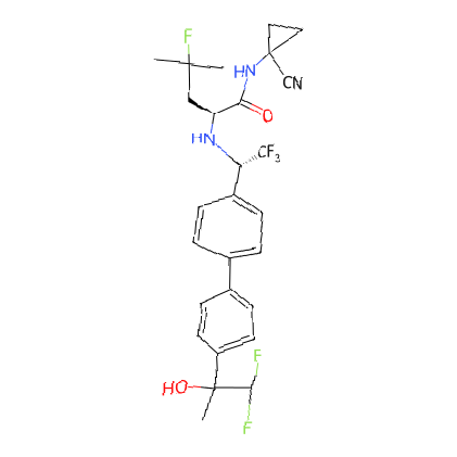 CC(C)(F)C[C@H](N[C@@H](c1ccc(-c2ccc(C(C)(O)C(F)F)cc2)cc1)C(F)(F)F)C(=O)NC1(C#N)CC1